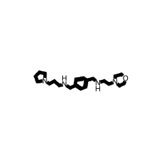 c1cc(CNCCN2CCOCC2)ccc1CNCCCN1CCCC1